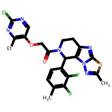 CCc1nc(Cl)ncc1OCC(=O)N1CCc2nc3sc(C)nn3c2C1c1ccc(C)c(F)c1F